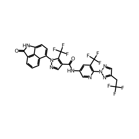 O=C(Nc1cnc(-n2ncc(CC(F)(F)F)n2)c(C(F)(F)F)c1)c1cnn(-c2ccc3c4c(cccc24)C(=O)N3)c1C(F)(F)F